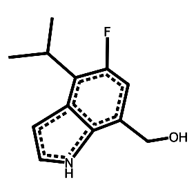 CC(C)c1c(F)cc(CO)c2[nH]ccc12